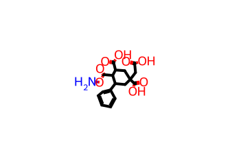 NOC(=O)C1C(C(=O)O)CC(CC(=O)O)(C(=O)O)CC1c1ccccc1